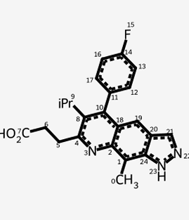 Cc1c2nc(CCC(=O)O)c(C(C)C)c(-c3ccc(F)cc3)c2cc2cn[nH]c12